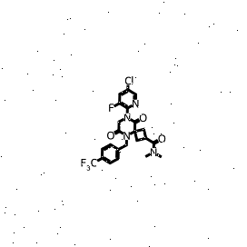 CN(C)C(=O)C1CC2(C1)C(=O)N(c1ncc(Cl)cc1F)CC(=O)N2Cc1ccc(C(F)(F)F)cc1